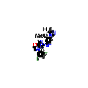 COc1cc(Nc2ncc3c(n2)N(c2cc(F)cc(F)c2)CCO3)ccc1-n1cnc(C)c1